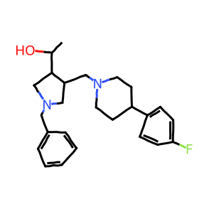 CC(O)C1CN(Cc2ccccc2)CC1CN1CCC(c2ccc(F)cc2)CC1